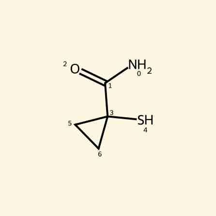 NC(=O)C1(S)CC1